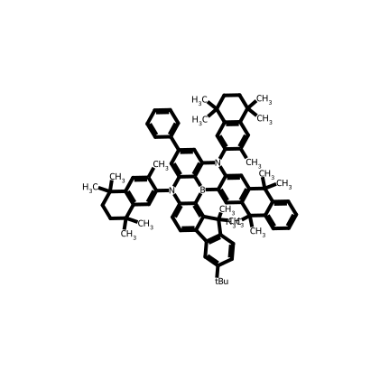 Cc1cc2c(cc1N1c3cc4c(cc3B3c5c1cc(-c1ccccc1)cc5N(c1cc5c(cc1C)C(C)(C)CCC5(C)C)c1ccc5c(c13)C(C)(C)c1ccc(C(C)(C)C)cc1-5)C(C)(C)c1ccccc1C4(C)C)C(C)(C)CCC2(C)C